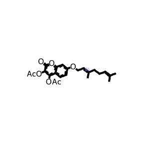 CC(=O)Oc1c(OC(C)=O)c2ccc(OC/C=C(\C)CCC=C(C)C)cc2oc1=O